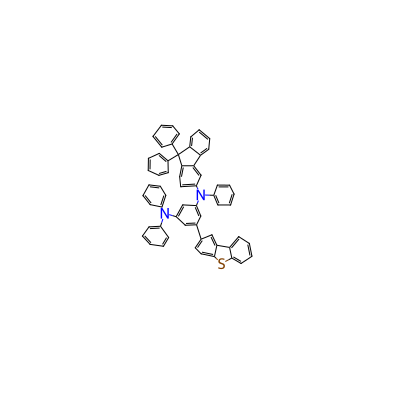 c1ccc(N(c2ccccc2)c2cc(-c3ccc4sc5ccccc5c4c3)cc(N(c3ccccc3)c3ccc4c(c3)-c3ccccc3C4(c3ccccc3)c3ccccc3)c2)cc1